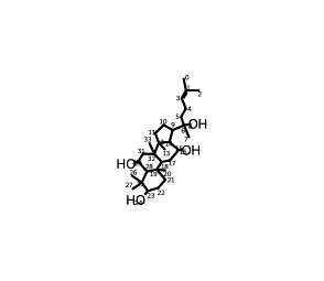 CC(C)=CCCC(C)(O)C1CCC2(C)C1C(O)CC1C3(C)CCC(O)C(C)(C)C3C(O)CC12C